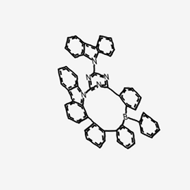 c1ccc(B2c3ccccc3-c3nc(-n4c5ccccc5c5ccccc54)nc(n3)-n3c4ccccc4c4cccc(c43)-c3ccccc3-c3ccccc32)cc1